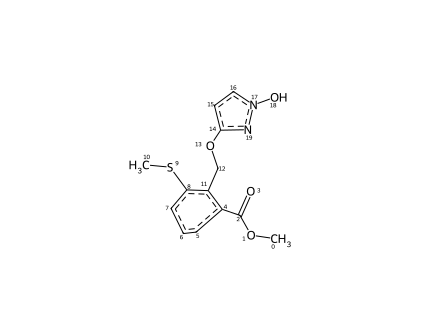 COC(=O)c1cccc(SC)c1COc1ccn(O)n1